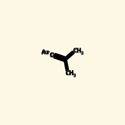 CC(C)=O.[Au]